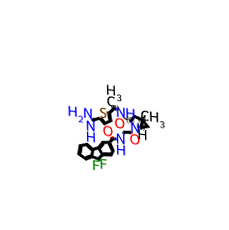 C[C@@H](NC(=O)[C@@H]1C[C@]2(C)C[C@@H]2N1C(=O)CNC(=O)c1ccc2c(c1)-c1ccccc1C2(F)F)c1ccc(C(=N)N)s1